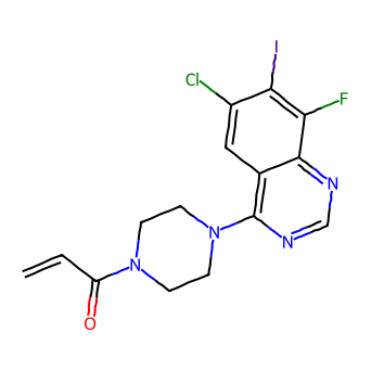 C=CC(=O)N1CCN(c2ncnc3c(F)c(I)c(Cl)cc23)CC1